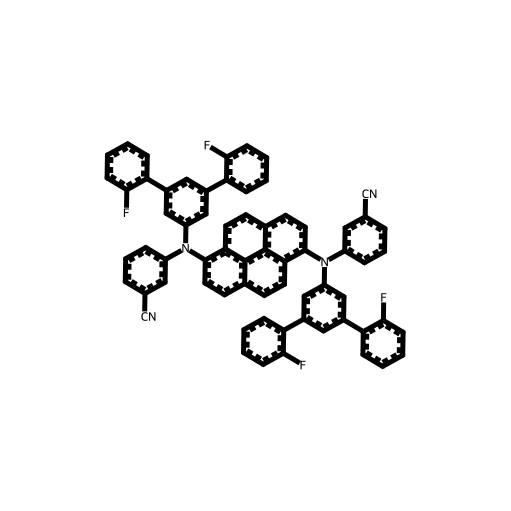 N#Cc1cccc(N(c2cc(-c3ccccc3F)cc(-c3ccccc3F)c2)c2ccc3ccc4c(N(c5cccc(C#N)c5)c5cc(-c6ccccc6F)cc(-c6ccccc6F)c5)ccc5ccc2c3c54)c1